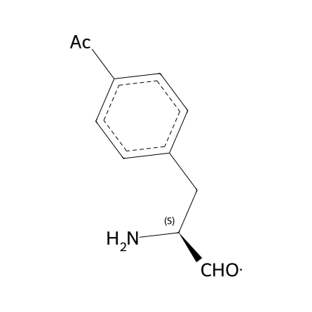 CC(=O)c1ccc(C[C@H](N)[C]=O)cc1